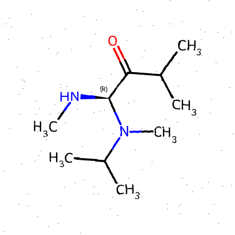 CN[C@@H](C(=O)C(C)C)N(C)C(C)C